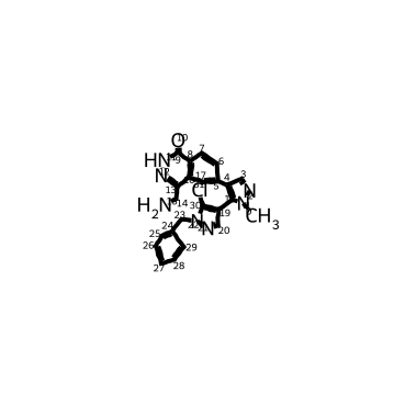 Cn1ncc(-c2ccc3c(=O)[nH]nc(CN)c3c2)c1-c1cnn(Cc2ccccc2)c1Cl